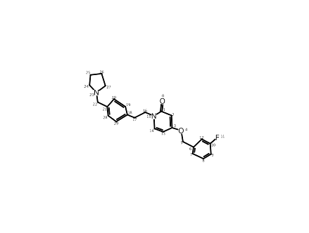 O=c1cc(OCc2cccc(F)c2)ccn1CCc1ccc(CN2CCCC2)cc1